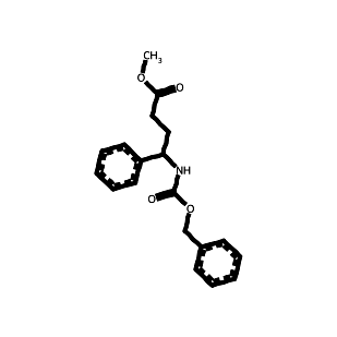 COC(=O)CCC(NC(=O)OCc1ccccc1)c1ccccc1